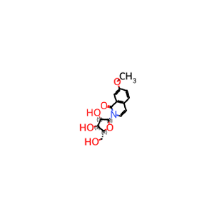 COc1ccc2ccn([C@@H]3O[C@H](CO)[C@@H](O)[C@@H]3O)c(=O)c2c1